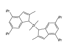 CC1=Cc2c(C(C)C)cc(C(C)C)cc2[CH]1[Zr]([CH3])([CH3])[CH]1C(C)=Cc2c(C(C)C)cc(C(C)C)cc21